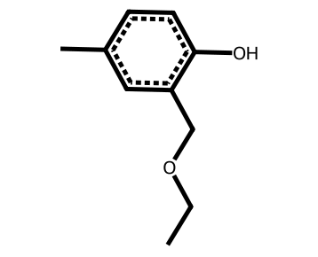 CCOCc1cc(C)ccc1O